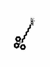 [N-]=[N+]=NCCCCCCCCCC[P+](c1ccccc1)(c1ccccc1)c1ccccc1